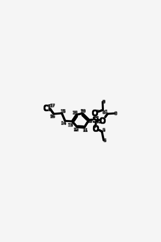 CCO[Si](OCC)(OCC)c1ccc(CCCCl)cc1